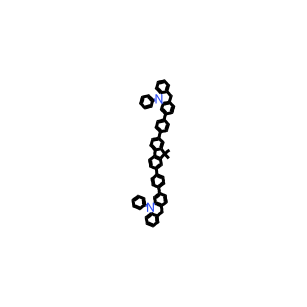 CC1(C)c2cc(-c3ccc(-c4ccc5c(c4)N(c4ccccc4)c4ccccc4C5)cc3)ccc2-c2ccc(-c3ccc(-c4ccc5c(c4)N(c4ccccc4)c4ccccc4C5)cc3)cc21